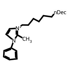 CCCCCCCCCCCCCCCC[n+]1ccn(-c2ccccc2)c1C